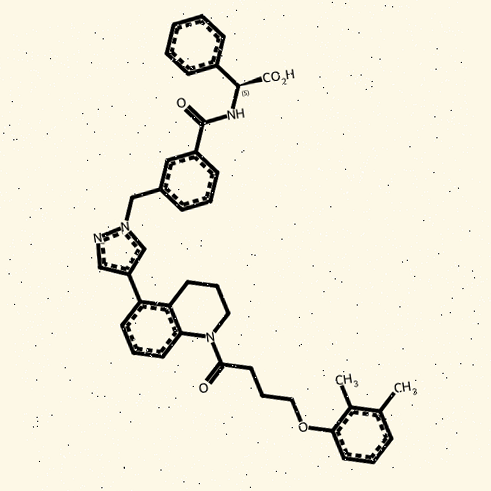 Cc1cccc(OCCCC(=O)N2CCCc3c(-c4cnn(Cc5cccc(C(=O)N[C@H](C(=O)O)c6ccccc6)c5)c4)cccc32)c1C